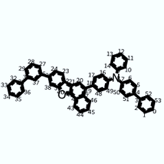 c1ccc(-c2ccc(N(c3ccccc3)c3ccc(-c4cc5c6ccc(-c7cccc(-c8ccccc8)c7)cc6oc5c5ccccc45)cc3)cc2)cc1